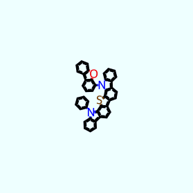 c1ccc(-n2c3ccccc3c3ccc4c5ccc6c7ccccc7n(-c7cccc8c7oc7ccccc78)c6c5sc4c32)cc1